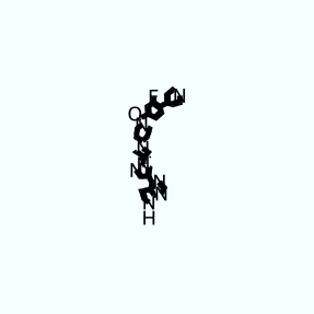 O=C(c1ccc(-c2ccncc2)c(F)c1)N1CCC(N2C[C](n3cc(-c4ncnc5[nH]ccc45)cn3)C2)CC1